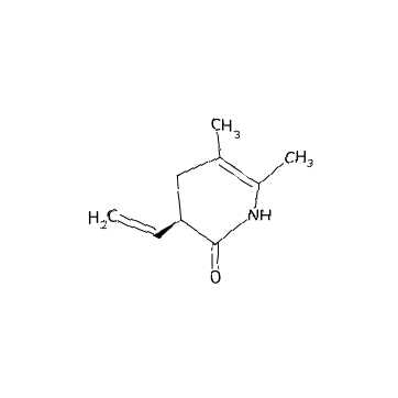 C=C[C@H]1CC(C)=C(C)NC1=O